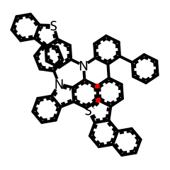 c1ccc(-c2cccc(N(c3ccc4c(c3)sc3ccccc34)c3cccc4c5ccccc5n(-c5ccccc5)c34)c2-c2ccc3c(c2)sc2ccc4ccccc4c23)cc1